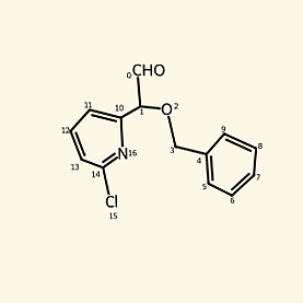 O=CC(OCc1ccccc1)c1cccc(Cl)n1